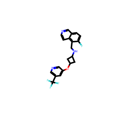 Fc1ccc2cnccc2c1CNC1CC(Oc2cncc(C(F)(F)F)c2)C1